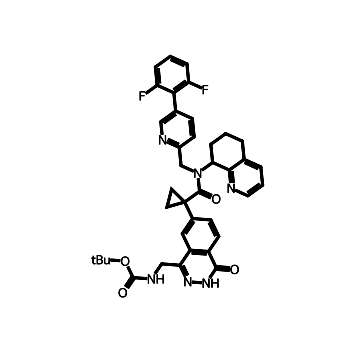 CC(C)(C)OC(=O)NCc1n[nH]c(=O)c2ccc(C3(C(=O)N(Cc4ccc(-c5c(F)cccc5F)cn4)C4CCCc5cccnc54)CC3)cc12